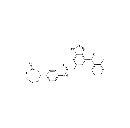 CON(c1ccccc1C)c1cc(CC(=O)Nc2ccc(C3CCCOC(=O)C3)cc2)cc2[nH]cnc12